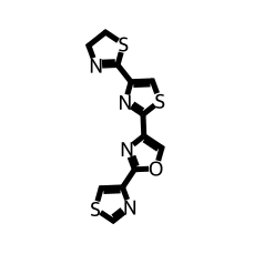 c1nc(-c2nc(-c3nc(C4=NCCS4)cs3)co2)cs1